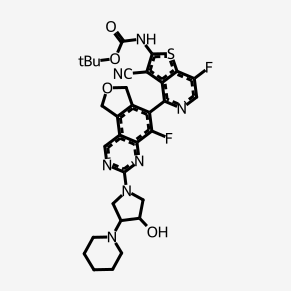 CC(C)(C)OC(=O)Nc1sc2c(F)cnc(-c3c4c(c5cnc(N6CC(O)C(N7CCCCC7)C6)nc5c3F)COC4)c2c1C#N